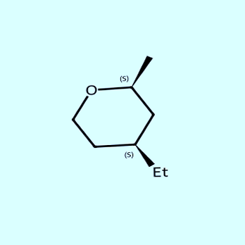 CC[C@H]1CCO[C@@H](C)C1